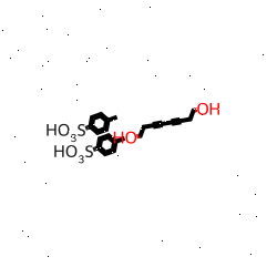 Cc1ccc(S(=O)(=O)O)cc1.Cc1ccc(S(=O)(=O)O)cc1.OCCC#CC#CCCO